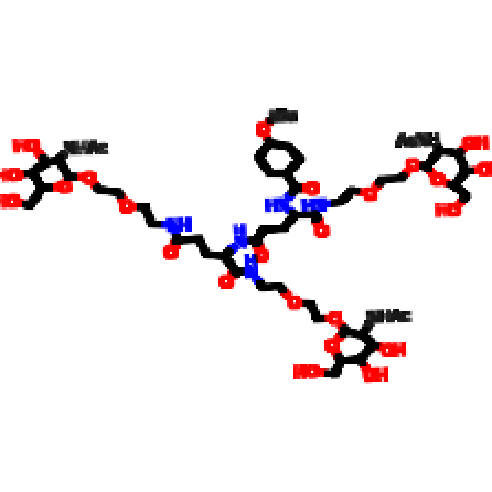 CC(=O)NC1C(OCCOCCNC(=O)CCC(NC(=O)CCC(NC(=O)C2CCC(OC(C)(C)C)CC2)C(=O)NCCOCCOC2OC(CO)C(O)C(O)C2NC(C)=O)C(=O)NCCOCCOC2OC(CO)C(O)C(O)C2NC(C)=O)OC(CO)C(O)C1O